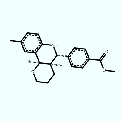 COC(=O)c1ccc([C@H]2Nc3ccc(C)cc3[C@@H]3OCCC[C@H]23)cc1